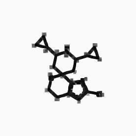 Clc1cc2c(s1)C1(CC(C3CC3)NC(C3CC3)C1)OCC2